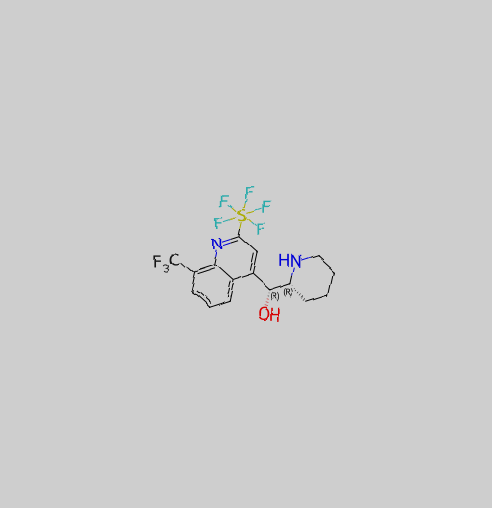 O[C@H](c1cc(S(F)(F)(F)(F)F)nc2c(C(F)(F)F)cccc12)[C@H]1CCCCN1